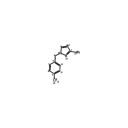 CC(C)c1bcn(Cc2ccc(C(F)(F)F)cc2)b1